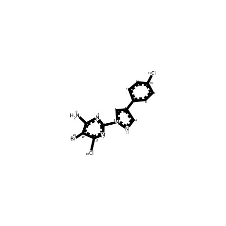 Nc1nc(-n2cc(-c3ccc(Cl)cc3)cn2)nc(Cl)c1Br